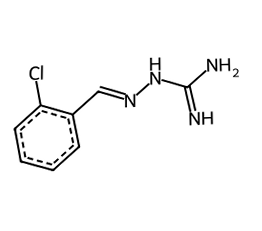 N=C(N)NN=Cc1ccccc1Cl